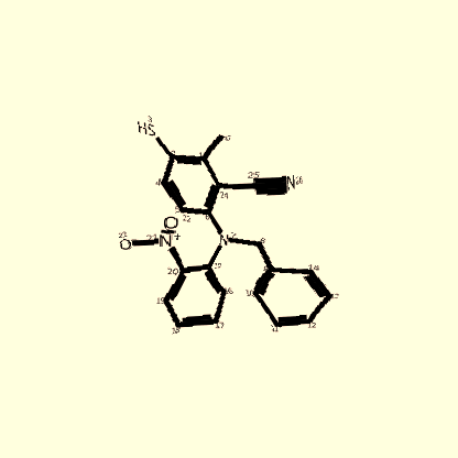 Cc1c(S)ccc(N(Cc2ccccc2)c2ccccc2[N+](=O)[O-])c1C#N